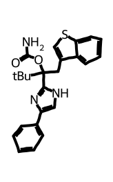 CC(C)(C)C(Cc1csc2ccccc12)(OC(N)=O)c1nc(-c2ccccc2)c[nH]1